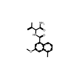 C=C(C)C(NC(=O)c1cc(OC)cc2c(C)cccc12)C(N)=O